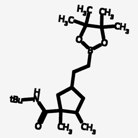 CC1CC(CCB2OC(C)(C)C(C)(C)O2)CC1(C)C(=O)NC(C)(C)C